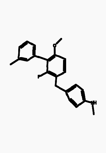 CNc1ccc(Cc2ccc(OC)c(-c3cccc(C)c3)c2F)cc1